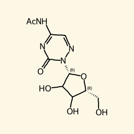 CC(=O)Nc1cnn([C@@H]2O[C@H](CO)C(O)C2O)c(=O)n1